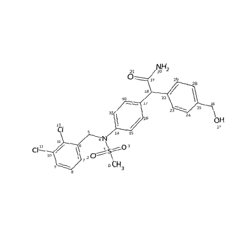 CS(=O)(=O)N(Cc1cccc(Cl)c1Cl)c1ccc(C(C(N)=O)c2ccc(CO)cc2)cc1